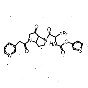 CCCC(NC(=O)Oc1ccsc1)C(=O)N1CCC2C1C(=O)CN2C(=O)Cc1cccnc1